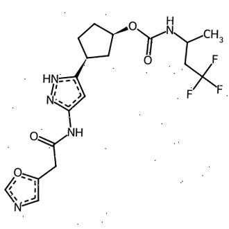 CC(CC(F)(F)F)NC(=O)O[C@@H]1CC[C@H](c2cc(NC(=O)Cc3cnco3)n[nH]2)C1